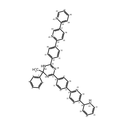 CC1(c2ccccc2)N=C(c2ccc(-c3ccc(C4C=CC=CN4)cn3)cc2)N=C(c2ccc(-c3ccc(-c4ccccn4)cn3)cc2)N1